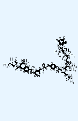 CCCN(CCC)C(=O)C1=Cc2ccc(C(=O)Nc3cncc(CNC(=O)OCc4ccc(NC(=O)[C@H](CCCNC(N)=O)NC(=O)[C@@H](NC(=O)CCC(C)(C)OCC(C)(C)C(=O)Oc5c(F)c(F)cc(F)c5F)C(C)C)cc4)c3)cc2N=C(N)C1